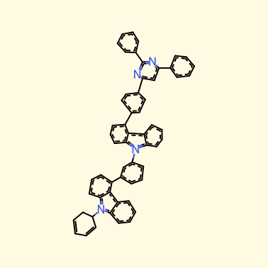 C1=CCC(n2c3ccccc3c3c(-c4cccc(-n5c6ccccc6c6c(-c7ccc(-c8cc(-c9ccccc9)nc(-c9ccccc9)n8)cc7)cccc65)c4)cccc32)C=C1